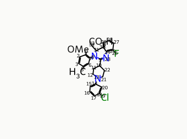 COc1ccc(C)cc1N1C(C2CCN(c3cccc(Cl)c3)CC2)=Nc2c(F)cccc2C1CC(=O)O